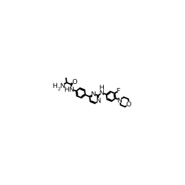 CC(N)C(=O)Nc1ccc(-c2ccnc(Nc3ccc(N4CCOCC4)c(F)c3)n2)cc1